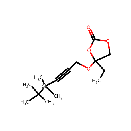 CCC1(OCC#C[Si](C)(C)C(C)(C)C)COC(=O)O1